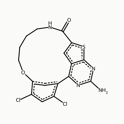 Nc1nc2c3cc(sc3n1)C(=O)NCCCCOc1cc-2c(Cl)cc1Cl